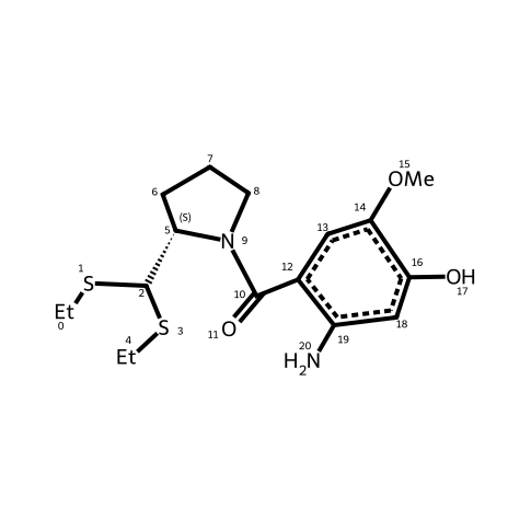 CCSC(SCC)[C@@H]1CCCN1C(=O)c1cc(OC)c(O)cc1N